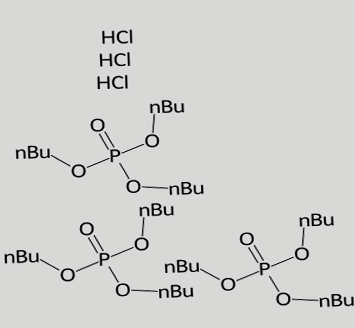 CCCCOP(=O)(OCCCC)OCCCC.CCCCOP(=O)(OCCCC)OCCCC.CCCCOP(=O)(OCCCC)OCCCC.Cl.Cl.Cl